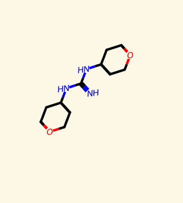 N=C(NC1CCOCC1)NC1CCOCC1